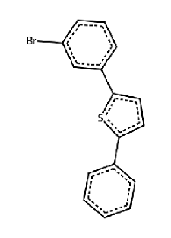 Brc1cccc(-c2ccc(-c3ccccc3)s2)c1